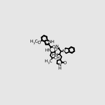 COc1cccc2[nH]c(C(=O)NC(CC(C)C)C(=O)NC(CC3CCNC3=O)C(C#N)N3Cc4ccccc4C3)cc12